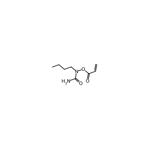 C=CC(=O)ON(CCCC)C(N)=O